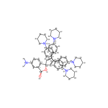 CN(C)c1ccc2c(c1)C(=O)OC2(C=C(c1ccc(N2CCCCC2)cc1)c1ccc(N2CCCCC2)cc1)C=C(c1ccc(N2CCCCC2)cc1)c1ccc(N2CCCCC2)cc1